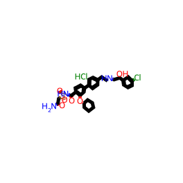 Cl.NC(=O)CS(=O)(=O)NC(=O)c1ccc(-c2ccc(CCNC[C@H](O)c3cccc(Cl)c3)cc2)cc1OC1CCCCC1